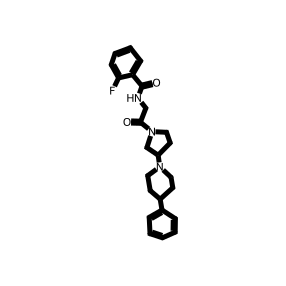 O=C(NCC(=O)N1CCC(N2CCC(c3ccccc3)CC2)C1)c1ccccc1F